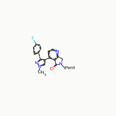 CCCC(C)N1Cc2nccc(-c3cn(C)nc3-c3ccc(F)cc3)c2C1=O